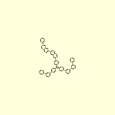 c1ccc(-c2cccc(-c3ccc(N(c4ccc(-c5cccc(-c6cccc(-c7ccccc7)c6)c5)cc4)c4ccc(-c5ccc6ccc(-c7ccc8ccc(-c9ccccc9)cc8c7)cc6c5)cc4)cc3)c2)cc1